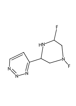 FC1CN(F)CC(c2ccnnn2)N1